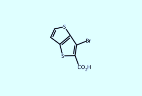 O=C(O)c1sc2ccsc2c1Br